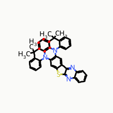 CC1(C)c2ccccc2N(c2cc3sc4nc5ccccc5nc4c3cc2N2c3ccccc3C(C)(C)c3ccccc32)c2ccccc21